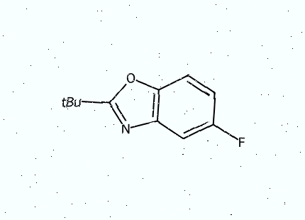 CC(C)(C)c1nc2cc(F)ccc2o1